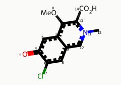 COc1c2cc(=O)c(Cl)cc-2cn(C)c1C(=O)O